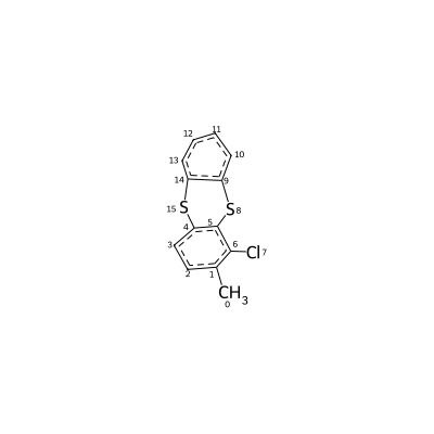 Cc1ccc2c(c1Cl)Sc1ccccc1S2